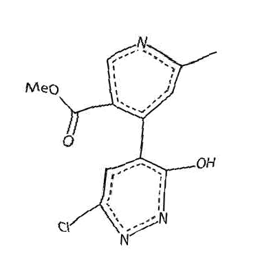 COC(=O)c1cnc(C)cc1-c1cc(Cl)nnc1O